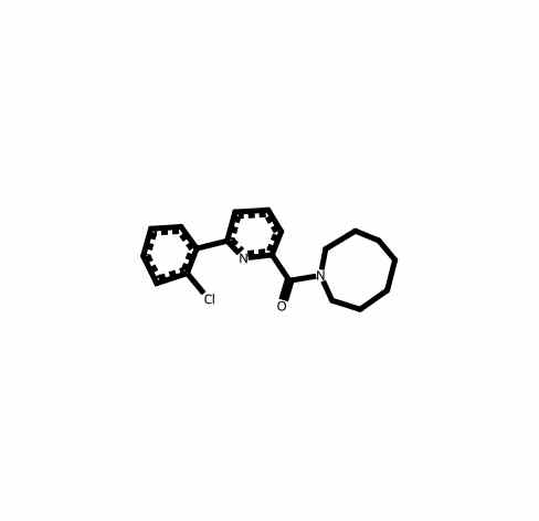 O=C(c1cccc(-c2ccccc2Cl)n1)N1CCCCCCC1